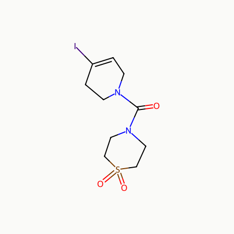 O=C(N1CC=C(I)CC1)N1CCS(=O)(=O)CC1